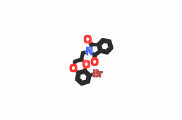 O=C1c2ccccc2C(=O)N1CC1COc2cccc(Br)c2O1